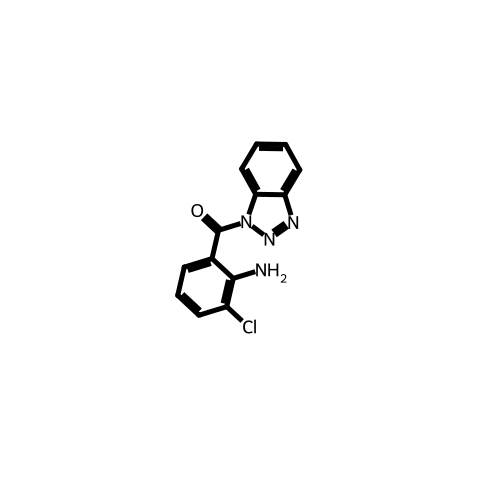 Nc1c(Cl)cccc1C(=O)n1nnc2ccccc21